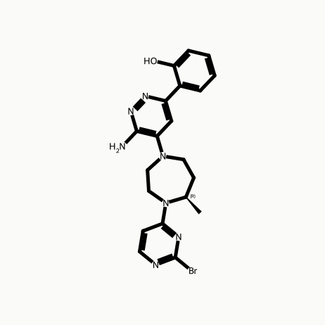 C[C@@H]1CCN(c2cc(-c3ccccc3O)nnc2N)CCN1c1ccnc(Br)n1